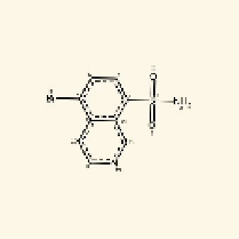 NS(=O)(=O)c1ccc(Br)c2ccncc12